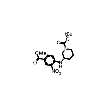 COC(=O)c1ccc(N[C@@H]2CCCN(C(=O)OC(C)(C)C)C2)c([N+](=O)[O-])c1